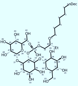 CCCCCCCCCCCCCCCCO[C@H](CC)COP(=O)(O)O[C@@H]1C(O[C@H]2OC(CO)[C@@H](O)[C@H](O)C2O)C(O)[C@@H](O)[C@H](O)C1O[C@H]1OC(CO)[C@@H](O)C(O)[C@H]1O